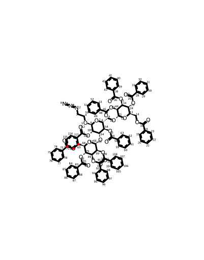 [N-]=[N+]=NCCO[C@H]1O[C@H](CO[C@H]2O[C@H](COC(=O)c3ccccc3)[C@@H](OC(=O)c3ccccc3)[C@H](OC(=O)c3ccccc3)[C@@H]2OC(=O)c2ccccc2)[C@@H](OC(=O)c2ccccc2)[C@H](O[C@H]2O[C@H](COC(=O)c3ccccc3)[C@@H](OC(=O)c3ccccc3)[C@H](OC(=O)c3ccccc3)[C@@H]2OC(=O)c2ccccc2)[C@@H]1OC(=O)c1ccccc1